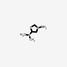 CN(C)C1CN(N)CS1